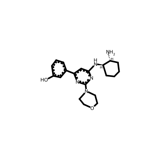 N[C@@H]1CCCC[C@H]1Nc1cc(-c2cccc(O)c2)nc(N2CCOCC2)n1